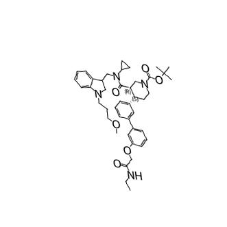 CCNC(=O)COc1cccc(-c2cccc([C@H]3CCN(C(=O)OC(C)(C)C)C[C@@H]3C(=O)N(CC3CN(CCCOC)c4ccccc43)C3CC3)c2)c1